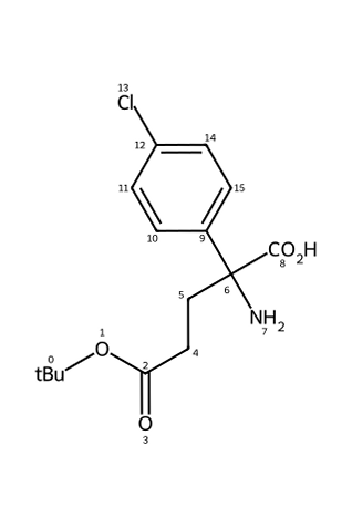 CC(C)(C)OC(=O)CCC(N)(C(=O)O)c1ccc(Cl)cc1